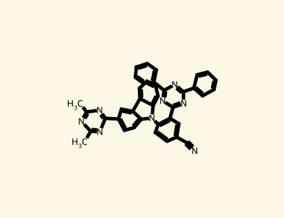 Cc1nc(C)nc(-c2ccc3c(c2)c2ccccc2n3-c2ccc(C#N)cc2-c2nc(-c3ccccc3)nc(-c3ccccc3)n2)n1